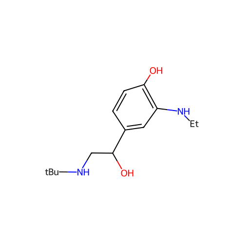 CCNc1cc(C(O)CNC(C)(C)C)ccc1O